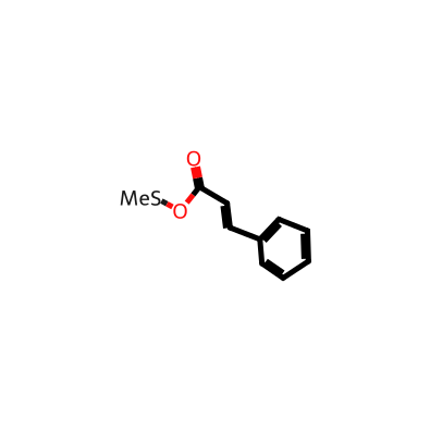 CSOC(=O)C=Cc1ccccc1